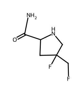 NC(=O)C1CC(F)(CF)CN1